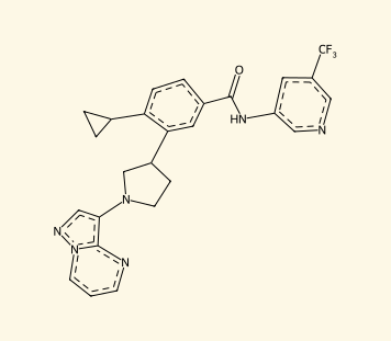 O=C(Nc1cncc(C(F)(F)F)c1)c1ccc(C2CC2)c(C2CCN(c3cnn4cccnc34)C2)c1